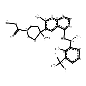 COC1(c2cc3c(N[C@H](C)c4cccc(C(C)(F)F)c4C)ncnc3nc2C)CCN(C(=O)CO)CC1